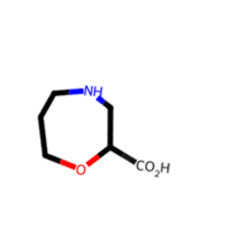 O=C(O)C1CNCCCO1